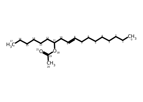 CCCCCCCCC=CCC(CCCCCC)OC(C)=O